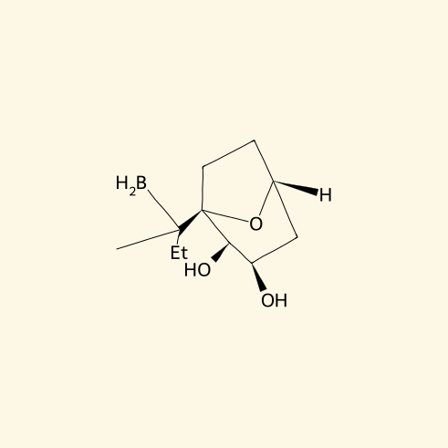 BC(C)(CC)[C@]12CC[C@H](C[C@@H](O)[C@H]1O)O2